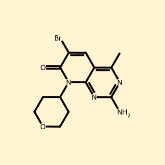 Cc1nc(N)nc2c1cc(Br)c(=O)n2C1CCOCC1